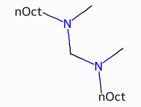 CCCCCCCCN(C)CN(C)CCCCCCCC